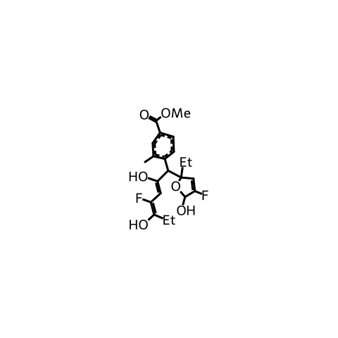 CC/C(O)=C(F)\C=C(/O)C(c1ccc(C(=O)OC)cc1C)C1(CC)C=C(F)C(O)O1